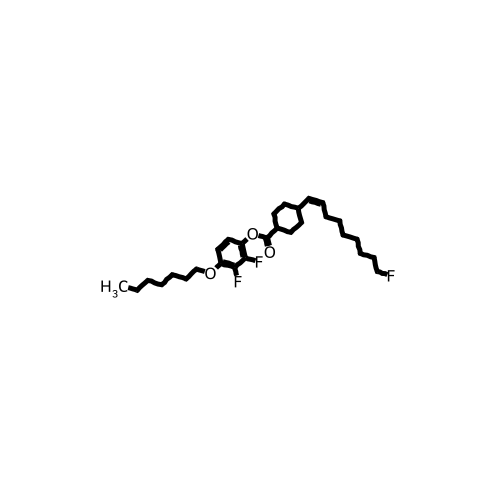 CCCCCCCOc1ccc(OC(=O)C2CCC(/C=C\CCCCCCCF)CC2)c(F)c1F